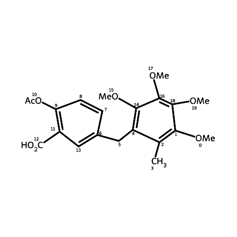 COc1c(C)c(Cc2ccc(OC(C)=O)c(C(=O)O)c2)c(OC)c(OC)c1OC